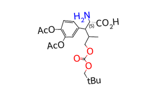 CC(=O)Oc1ccc(C(C(C)COC(=O)OCC(C)(C)C)[C@H](N)C(=O)O)cc1OC(C)=O